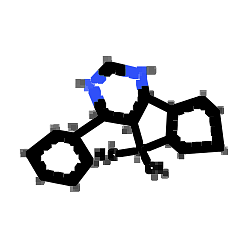 C[Si]1(C)c2ccccc2-c2ncnc(-c3ccccc3)c21